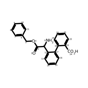 NC(C(=O)OCc1ccccc1)c1ccccc1-c1ccccc1C(=O)O